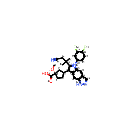 CO[C@@]1(C(=O)O)CCC(c2c(C(C)(C)CC#N)n(-c3ccc(F)c(F)c3)c3cc4cn[nH]c4cc23)C1